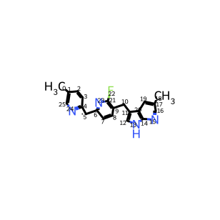 Cc1ccc([CH]c2ccc(Cc3c[nH]c4ncc(C)cc34)c(F)n2)nc1